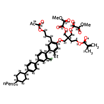 C=C(C)C(=O)OCCC(COC(=O)C(=O)OC)(COC(=O)C(=O)OC)COc1cc(CC)c(-c2ccc(-c3ccc(C4CCC(CCCCC)CC4)cc3)cc2F)cc1CCCOC(=O)C(C)=O